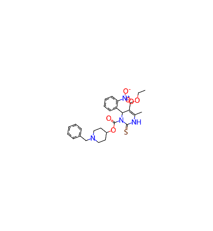 CCOC(=O)C1=C(C)NC(=S)N(C(=O)OC2CCN(Cc3ccccc3)CC2)C1c1ccccc1[N+](=O)[O-]